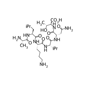 CC(C)C[C@H](NC(=O)[C@H](C)N)C(=O)N[C@@H](CCCCN)C(=O)N[C@H](C(=O)N[C@@H](CC(N)=O)C(=O)N[C@H](C(=O)O)[C@@H](C)O)C(C)C